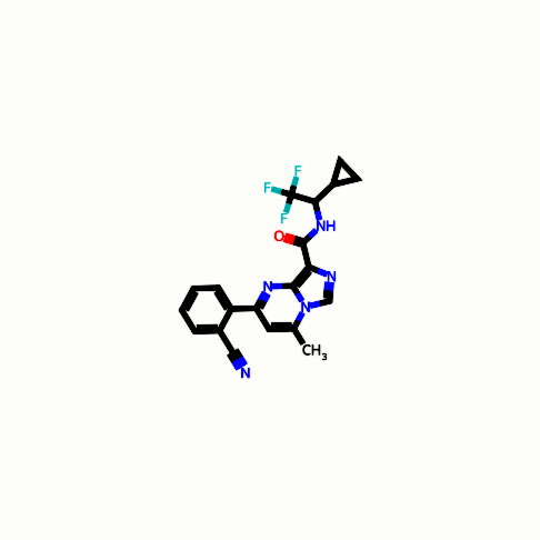 Cc1cc(-c2ccccc2C#N)nc2c(C(=O)NC(C3CC3)C(F)(F)F)ncn12